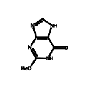 COc1nc2nc[nH]c2c(=O)[nH]1